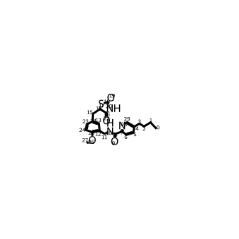 CCCCc1ccc(C(=O)NCc2cc(CC3SC(=O)NC3=O)ccc2OC)nc1